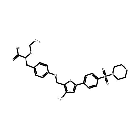 CCO[C@@H](Cc1ccc(OCc2sc(-c3ccc(S(=O)(=O)N4CCOCC4)cc3)cc2C)cc1)C(=O)O